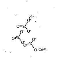 O=[Si]([O-])[O-].O=[Si]([O-])[O-].O=[Si]([O-])[O-].[Ce+3].[Y+3]